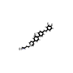 CC/C=C/CC[SiH]1CCC(c2ccc(-c3ccc(CCc4ccc(F)c(F)c4)cc3)c(F)c2)CC1